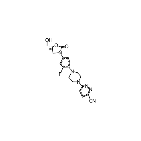 N#Cc1ccc(N2CCN(c3ccc(N4C[C@H](CO)OC4=O)cc3F)CC2)nn1